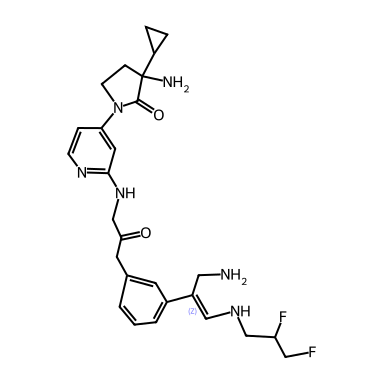 NC/C(=C\NCC(F)CF)c1cccc(CC(=O)CNc2cc(N3CCC(N)(C4CC4)C3=O)ccn2)c1